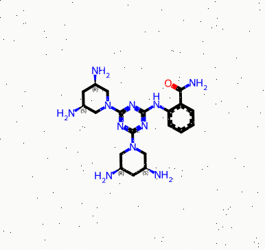 NC(=O)c1ccccc1Nc1nc(N2C[C@H](N)C[C@H](N)C2)nc(N2C[C@H](N)C[C@H](N)C2)n1